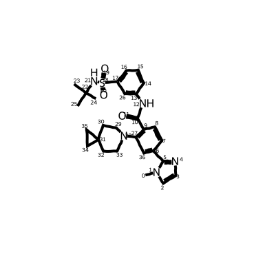 Cn1ccnc1-c1ccc(C(=O)Nc2cccc(S(=O)(=O)NC(C)(C)C)c2)c(N2CCC3(CC2)CC3)c1